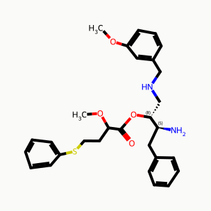 COc1cccc(CNC[C@@H](OC(=O)C(CCSc2ccccc2)OC)[C@@H](N)Cc2ccccc2)c1